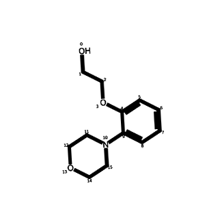 OCCOc1ccccc1N1CCOCC1